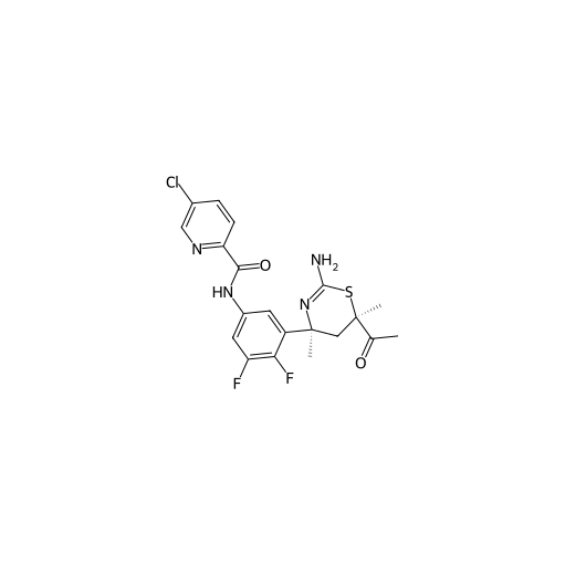 CC(=O)[C@@]1(C)C[C@@](C)(c2cc(NC(=O)c3ccc(Cl)cn3)cc(F)c2F)N=C(N)S1